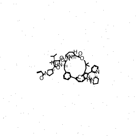 C=CC(=O)N1CC[C@H](C(=O)N(C)[C@H](C(=O)N[C@H]2Cc3cccc(c3)-c3ccc4c(c3)c(c(-c3cccnc3[C@@H]3CCCN3)n4CC)CC(C)(C)COC(=O)[C@@H]3CCCN(N3)C2=O)C(C)C)C1